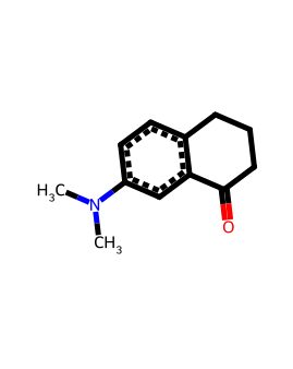 CN(C)c1ccc2c(c1)C(=O)CCC2